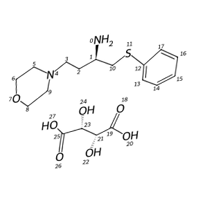 N[C@H](CCN1CCOCC1)CSc1ccccc1.O=C(O)[C@H](O)[C@@H](O)C(=O)O